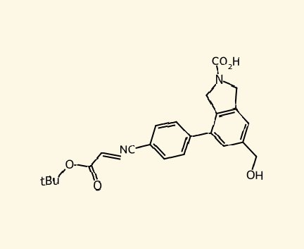 C=CC(=O)OC(C)(C)C.N#Cc1ccc(-c2cc(CO)cc3c2CN(C(=O)O)C3)cc1